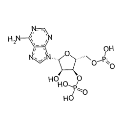 Nc1ncnc2c1ncn2[C@@H]1O[C@H](CO[P](=O)O)[C@@H](OP(=O)(O)O)[C@H]1O